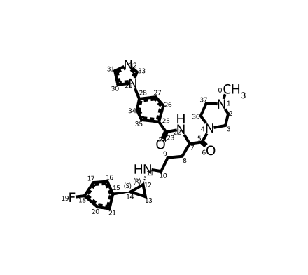 CN1CCN(C(=O)C(CCCN[C@@H]2C[C@H]2c2ccc(F)cc2)NC(=O)c2ccc(-n3ccnc3)cc2)CC1